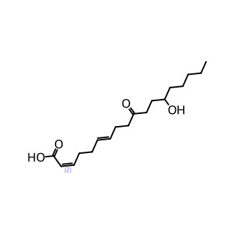 CCCCCC(O)CCC(=O)CCC=CCC/C=C\C(=O)O